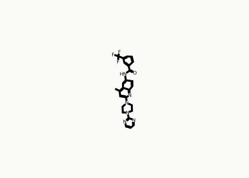 Cc1cc(N2CCN(c3ncccn3)CC2)nc2ccc(NC(=O)c3cccc(C(F)(F)F)c3)cc12